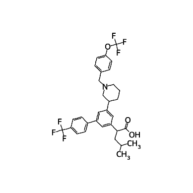 CC(C)CC(C(=O)O)c1cc(-c2ccc(C(F)(F)F)cc2)cc(C2CCCN(Cc3ccc(OC(F)(F)F)cc3)C2)c1